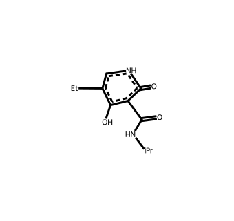 CCc1c[nH]c(=O)c(C(=O)NC(C)C)c1O